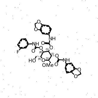 CO[C@H]1O[C@H](CO)[C@@H](OC(=O)Nc2cccc(F)c2)[C@H](OC(=O)Nc2ccc3c(c2)OCO3)[C@@H]1OC(=O)Nc1ccc2c(c1)OCO2